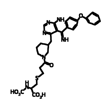 N=C(c1ccc(Oc2ccccc2)cc1)c1c(N)ncnc1CC1CCCN(C(=O)CCSCC(NC(=O)O)C(=O)O)C1